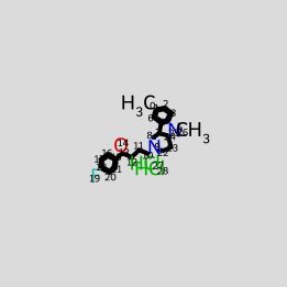 Cc1ccc2c(c1)C1CN(CCCC(=O)c3ccc(F)cc3)CCC1N2C.Cl.Cl